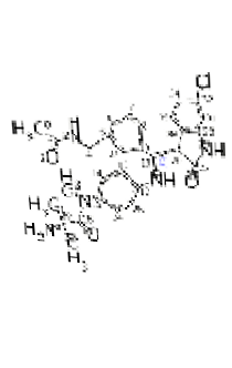 CC(=O)NCc1cccc(/C(Nc2ccc(N(C)C(=O)C(C)(C)N)cc2)=C2/C(=O)Nc3cc(Cl)ccc32)c1